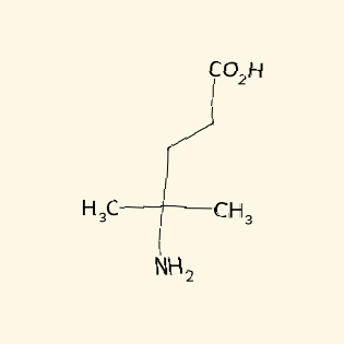 CC(C)(N)CCC(=O)O